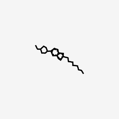 CCCCCCCCc1ccc2cc(C3CCC(CC)CC3)ccc2c1